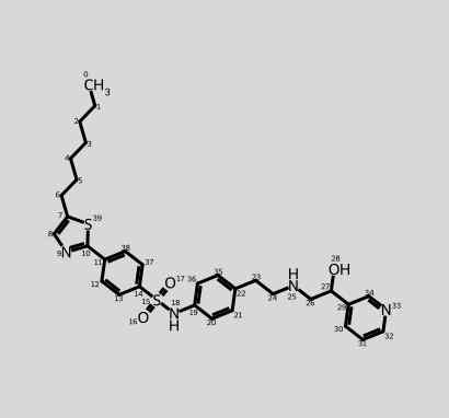 CCCCCCCc1cnc(-c2ccc(S(=O)(=O)Nc3ccc(CCNCC(O)c4cccnc4)cc3)cc2)s1